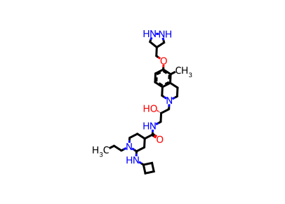 CCCN1CCC(C(=O)NC[C@H](O)CN2CCc3c(ccc(OCC4CNNC4)c3C)C2)CC1NC1CCC1